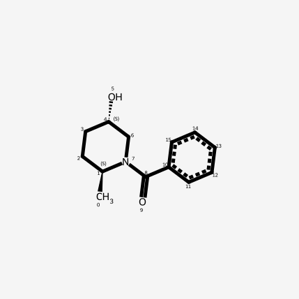 C[C@H]1CC[C@H](O)CN1C(=O)c1ccccc1